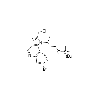 CC(CCO[Si](C)(C)C(C)(C)C)n1c(CCl)nc2cnc3cc(Br)ccc3c21